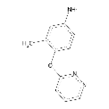 Cc1cc([NH])ccc1Oc1cccnn1